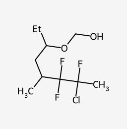 CCC(CC(C)C(F)(F)C(C)(F)Cl)OCO